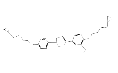 CCc1cc(C2=CCC(c3ccc(OCCOCC4CO4)cc3)CC2)ccc1OCCOCC1CO1